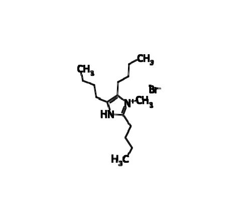 CCCCc1[nH]c(CCCC)[n+](C)c1CCCC.[Br-]